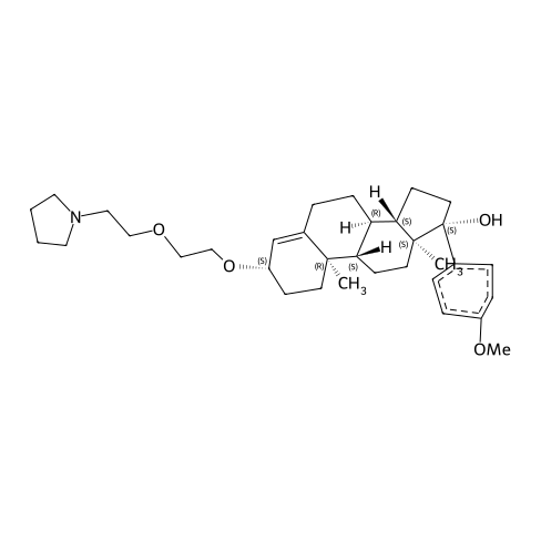 COc1ccc([C@]2(O)CC[C@H]3[C@@H]4CCC5=C[C@@H](OCCOCCN6CCCC6)CC[C@]5(C)[C@H]4CC[C@@]32C)cc1